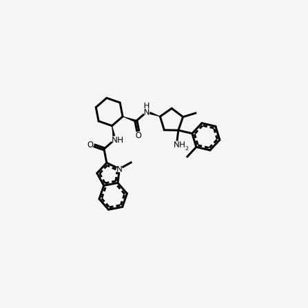 Cc1ccccc1C1(N)C[C@@H](NC(=O)[C@@H]2CCCC[C@@H]2NC(=O)c2cc3ccccc3n2C)CC1C